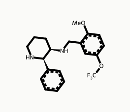 COc1ccc(OC(F)(F)F)cc1CN[C@@H]1CCCN[C@@H]1c1ccccc1